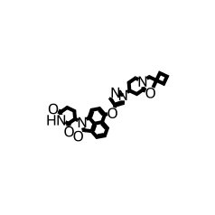 CC1(CN2CCC(n3cc(Oc4ccc5c6c(cccc46)C(=O)N5C4CCC(=O)NC4=O)cn3)CC2=O)CCC1